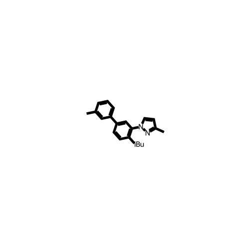 CCC(C)c1ccc(-c2cccc(C)c2)cc1-n1ccc(C)n1